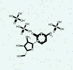 Nc1ccn([C@@H]2O[C@H](CO)[C@@H](O)C2N)c(=O)n1.O=P(O)(O)O.O=P(O)(O)O.O=P(O)(O)O